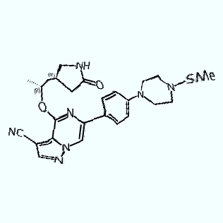 CSN1CCN(c2ccc(-c3cn4ncc(C#N)c4c(O[C@H](C)[C@H]4CNC(=O)C4)n3)cc2)CC1